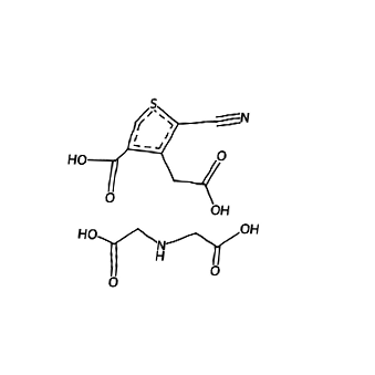 N#Cc1scc(C(=O)O)c1CC(=O)O.O=C(O)CNCC(=O)O